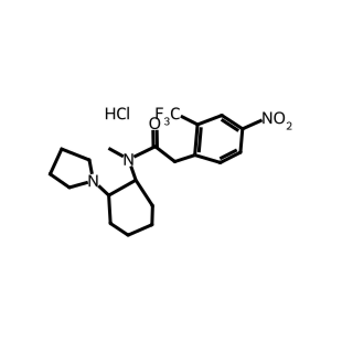 CN(C(=O)Cc1ccc([N+](=O)[O-])cc1C(F)(F)F)C1CCCCC1N1CCCC1.Cl